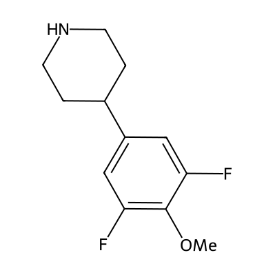 COc1c(F)cc(C2CCNCC2)cc1F